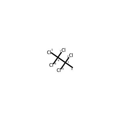 CC(Cl)(Cl)C(Cl)(Cl)Cl